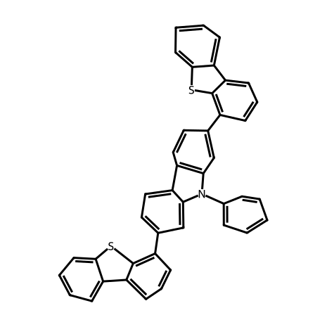 c1ccc(-n2c3cc(-c4cccc5c4sc4ccccc45)ccc3c3ccc(-c4cccc5c4sc4ccccc45)cc32)cc1